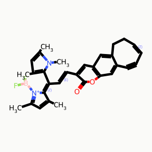 CC1=CC(C)=[N+](B(F)F)/C1=C(/C=C/c1cc2cc3c(cc2oc1=O)C#C/C=C\CC3)c1c(C)cc(C)n1C